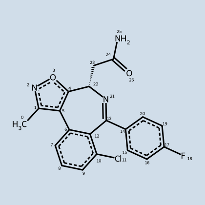 Cc1noc2c1-c1cccc(Cl)c1C(c1ccc(F)cc1)=N[C@H]2CC(N)=O